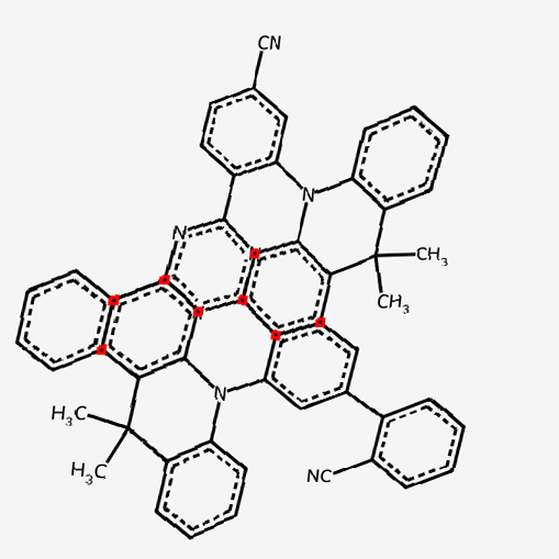 CC1(C)c2ccccc2N(c2cc(C#N)ccc2-c2nc(-c3ccccc3)nc(-c3ccc(-c4ccccc4C#N)cc3N3c4ccccc4C(C)(C)c4ccccc43)n2)c2ccccc21